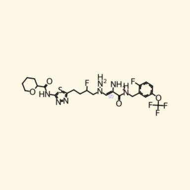 N/C(=C\N(N)CC(F)CCc1nnc(NC(=O)C2CCCCO2)s1)C(=O)NCc1cc(OC(F)(F)F)ccc1F